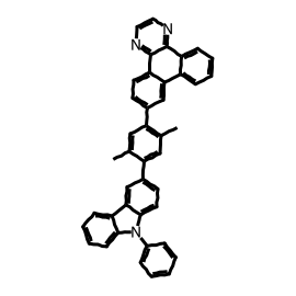 Cc1cc(-c2ccc3c(c2)c2ccccc2n3-c2ccccc2)c(C)cc1-c1ccc2c(c1)c1ccccc1c1nccnc21